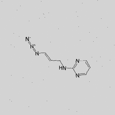 [N-]=[N+]=NC=CCNc1ncccn1